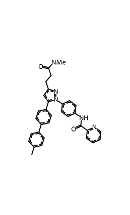 CNC(=O)CCc1cc(-c2ccc(-c3ccc(C)cc3)cc2)n(-c2ccc(NC(=O)c3ccccn3)cc2)n1